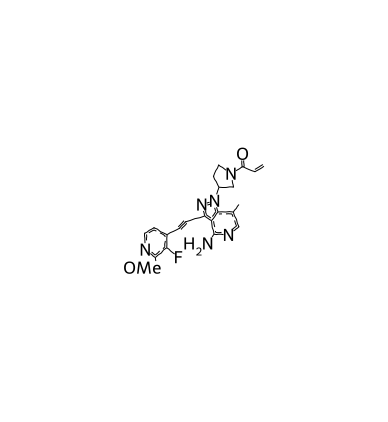 C=CC(=O)N1CCC(n2nc(C#Cc3ccnc(OC)c3F)c3c(N)ncc(C)c32)C1